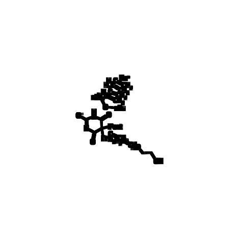 C=C.C=C.C=C.C=C.C=C.C=C.CCCC(C)C1(CC)C(=O)N=C([O-])NC1=O.CCCCOCCCC.OCCO.[Na+]